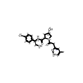 C=C(C)/C=C(/CC(=O)N1C[C@@H](O)CC1C(=O)N[C@@H](CO)c1ccc(Cl)cc1)ON